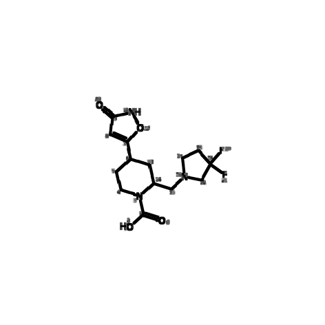 O=C(O)N1CCC(c2cc(=O)[nH]o2)CC1CN1CCC(F)(F)C1